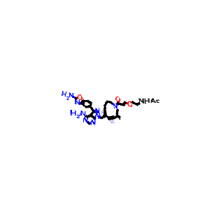 C=C1/C=C\C(Cn2nc(-c3ccc4oc(N)nc4c3)c3c(N)ncnc32)=C/CCCN(C(=O)CCOCCNC(C)=O)C1